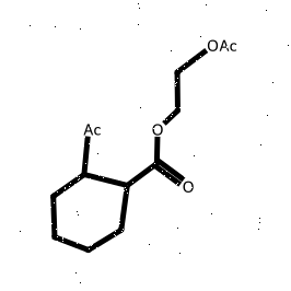 CC(=O)OCCOC(=O)C1CCCCC1C(C)=O